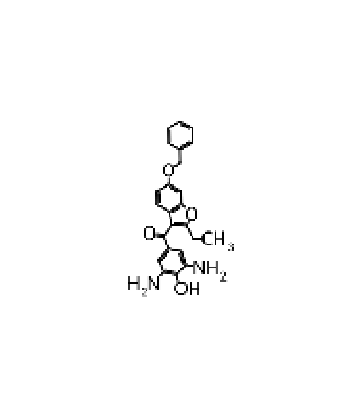 CCc1oc2cc(OCc3ccccc3)ccc2c1C(=O)c1cc(N)c(O)c(N)c1